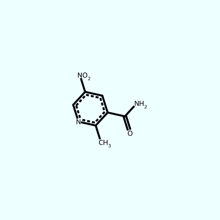 Cc1ncc([N+](=O)[O-])cc1C(N)=O